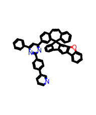 C1=Cc2ccc(-c3cc(-c4ccccc4)nc(-c4ccc(-c5cccnc5)cc4)n3)cc2C2(c3ccccc31)c1ccccc1-c1cc3c(cc12)oc1ccccc13